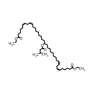 CCOC(=O)CCCC/C=C\C/C=C\CCCCCCCCC(CCCCCCCC/C=C\C/C=C\CCCCC(=O)OCC)OC(=O)CC(C)C